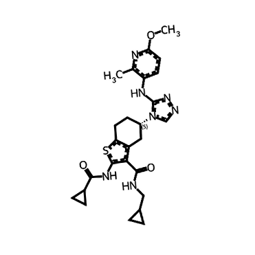 COc1ccc(Nc2nncn2[C@H]2CCc3sc(NC(=O)C4CC4)c(C(=O)NCC4CC4)c3C2)c(C)n1